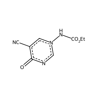 CCOC(=O)Nn1cnc(=O)c(C#N)c1